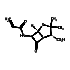 C=CC(=O)N[C@@H]1C(=O)N2[C@@H]1SC(C)(C)[C@@H]2C(=O)O